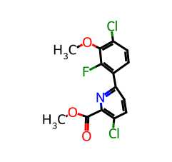 COC(=O)c1nc(-c2ccc(Cl)c(OC)c2F)ccc1Cl